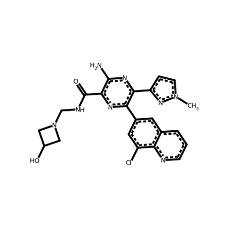 Cn1ccc(-c2nc(N)c(C(=O)NCN3CC(O)C3)nc2-c2cc(Cl)c3ncccc3c2)n1